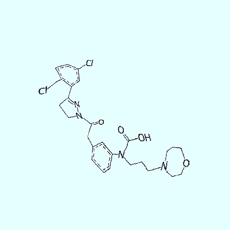 O=C(Cc1cccc(N(CCCN2CCOCC2)C(=O)O)c1)N1CCC(c2cc(Cl)ccc2Cl)=N1